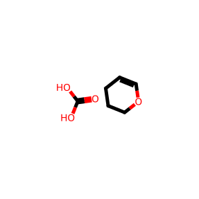 C1=COCCC1.O=C(O)O